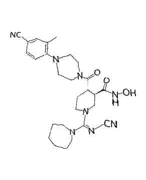 Cc1cc(C#N)ccc1N1CCN(C(=O)[C@H]2CCN(C(=NC#N)N3CCCCCC3)C[C@@H]2C(=O)NO)CC1